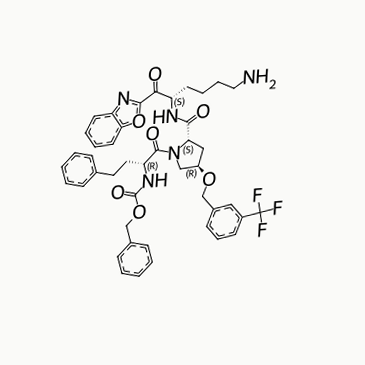 NCCCC[C@H](NC(=O)[C@@H]1C[C@@H](OCc2cccc(C(F)(F)F)c2)CN1C(=O)[C@@H](CCc1ccccc1)NC(=O)OCc1ccccc1)C(=O)c1nc2ccccc2o1